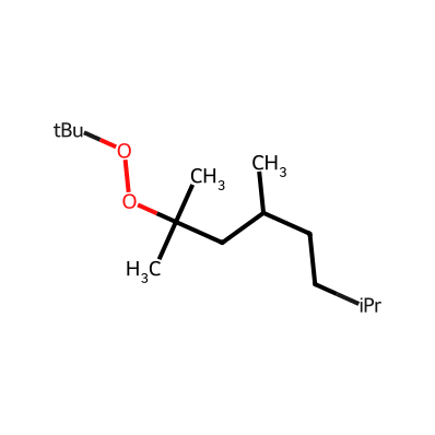 CC(C)CCC(C)CC(C)(C)OOC(C)(C)C